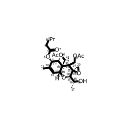 CC(=O)OC[C@]12C[C@H](OC(=O)CC(C)C)C(C)=C[C@H]1O[C@H]([C@@H](C)O)[C@@]1(CO1)[C@]2(C)COC(C)=O